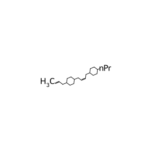 C/C=C/CC1CCC(C/C=C\CC2CCC(CCC)CC2)CC1